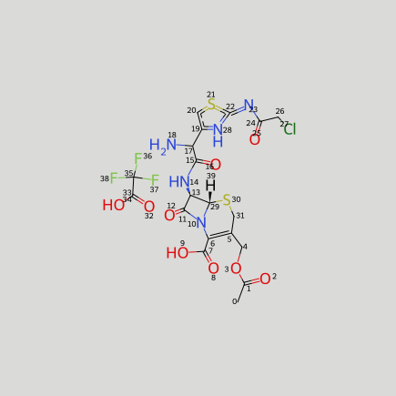 CC(=O)OCC1=C(C(=O)O)N2C(=O)[C@@H](NC(=O)C(N)c3csc(=NC(=O)CCl)[nH]3)[C@@H]2SC1.O=C(O)C(F)(F)F